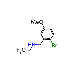 COc1ccc(Br)c(CNCC(F)(F)F)c1